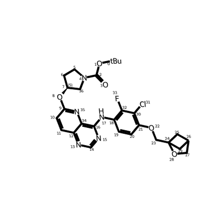 CC(C)(C)OC(=O)N1CC[C@H](Oc2ccc3ncnc(Nc4ccc(OCC56CC(CO5)C6)c(Cl)c4F)c3n2)C1